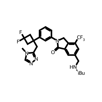 CC[C@@H](C)NCc1cc2c(c(C(F)(F)F)c1)CN(c1cccc(C3(Cc4nncn4C)CC(F)(F)C3)c1)C2=O